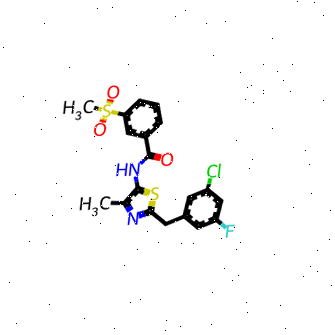 Cc1nc(Cc2cc(F)cc(Cl)c2)sc1NC(=O)c1cccc(S(C)(=O)=O)c1